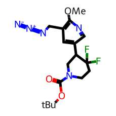 COc1ncc(C2CN(C(=O)OC(C)(C)C)CCC2(F)F)cc1CN=[N+]=[N-]